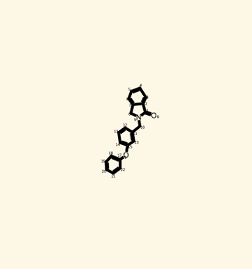 O=C1c2ccccc2CN1Cc1cccc(Oc2ccccc2)c1